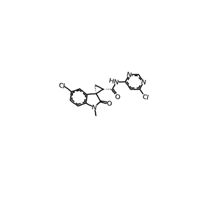 CN1C(=O)[C@@]2(C[C@@H]2C(=O)Nc2cc(Cl)ncn2)c2cc(Cl)ccc21